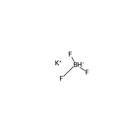 F[BH-](F)F.[K+]